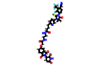 CC1(C)C(=O)N(c2ccc(C#N)c(C(F)(F)F)c2F)C(=S)N1c1ccc(CCCC(=O)NCCNC(=O)COc2ccc3c(c2)C(=O)N(C2CCC(=O)NC2=O)C3=O)nc1